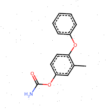 Cc1cc(OC(N)=O)ccc1Oc1ccccc1